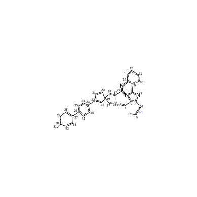 C=Cc1c(/C=C\C)nc2c3ccccc3nc(C3=CC4(C=CC(c5ccc(C6=CCC(C)C=C6)cc5)=C4)C=C3)n12